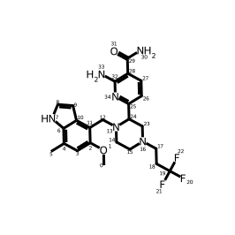 COc1cc(C)c2[nH]ccc2c1CN1CCN(CCC(F)(F)F)CC1c1ccc(C(N)=O)c(N)n1